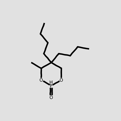 CCCCC1(CCCC)CO[PH](=O)OC1C